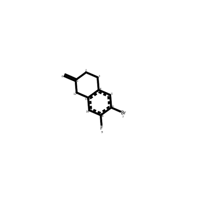 C=C1CCc2cc(Br)c(F)cc2C1